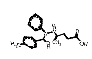 C=C(CCC(=O)O)NN(c1ccccc1)C(O)c1ccc(C)cc1